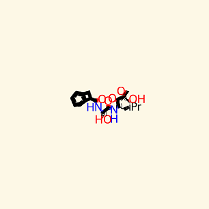 CC(C)C[C@H](NC(=O)[C@H](CO)NC(=O)C1Cc2ccccc21)C(=O)[C@@]1(CO)CO1